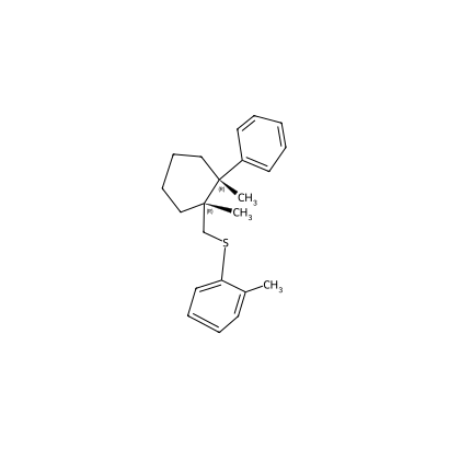 Cc1ccccc1SC[C@]1(C)CCCC[C@]1(C)c1ccccc1